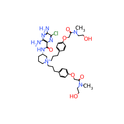 CN(CCO)C(=O)COc1ccc(CCC[N+]2(CCCc3ccc(OCC(=O)N(C)CCO)cc3)CCC[C@H](NC(=O)c3nc(Cl)c(N)nc3N)C2)cc1